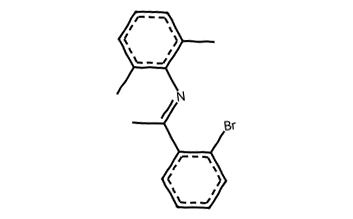 C/C(=N\c1c(C)cccc1C)c1ccccc1Br